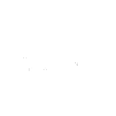 CCCCCn1c(-c2ccc(OCC(O)COC)cc2C)cc2ccccc21